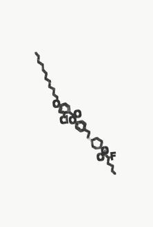 CCCCCCCCCCCCOc1ccc(C(=O)Oc2ccc(CC[C@H]3CC[C@H](OC(=O)[C@@H](F)CCCC)CC3)cc2)c(Cl)c1